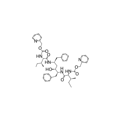 CC[C@H](C)[C@H](NC(=O)OCc1ccccn1)C(=O)N[C@@H](Cc1ccccc1)C[C@H](O)[C@H](Cc1ccccc1)NC(=O)[C@@H](NC(=O)OCc1ccccn1)[C@@H](C)CC